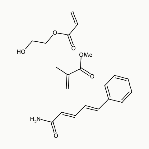 C=C(C)C(=O)OC.C=CC(=O)OCCO.NC(=O)C=CC=Cc1ccccc1